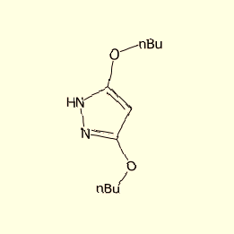 CCCCOc1cc(OCCCC)[nH]n1